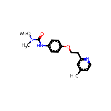 CON(C)C(=O)Nc1ccc(OCCc2cc(C)ccn2)cc1